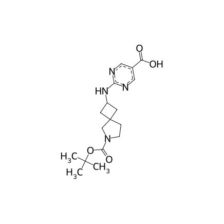 CC(C)(C)OC(=O)N1CCC2(CC(Nc3ncc(C(=O)O)cn3)C2)C1